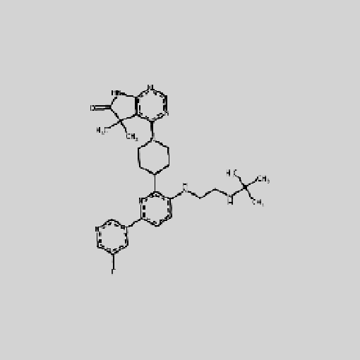 CC(C)(C)NCCNc1ccc(-c2cncc(F)c2)nc1C1CCN(c2ncnc3c2C(C)(C)C(=O)N3)CC1